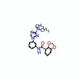 CN(C)c1ncn(-c2cccc(NC(=O)c3cccc4c3OCO4)c2)n1